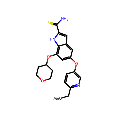 COCc1ccc(Oc2cc(OC3CCOCC3)c3[nH]c(C(N)=S)cc3c2)cn1